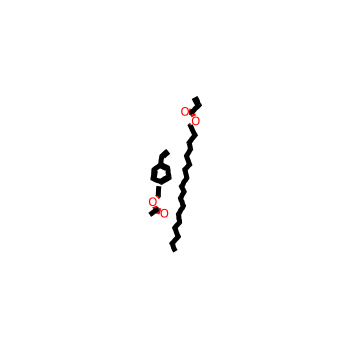 C=CC(=O)OCCCCCCCCCCCCCCCCCC.C=Cc1ccccc1.CCOC(C)=O